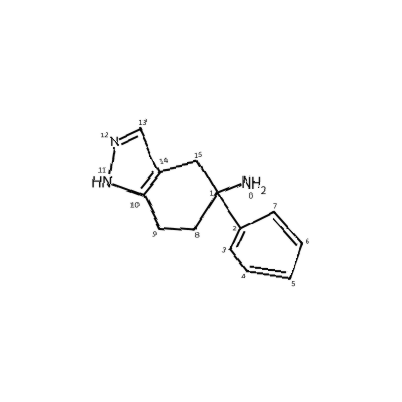 NC1(c2ccccc2)CCc2[nH]ncc2C1